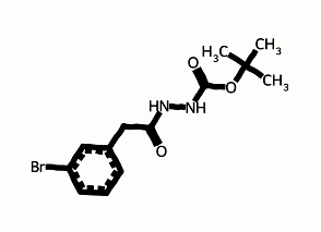 CC(C)(C)OC(=O)NNC(=O)Cc1cccc(Br)c1